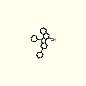 Oc1cc2ccccc2c2c1c1ccc(-c3ccccc3)cc1n2C1=CC=CCC1